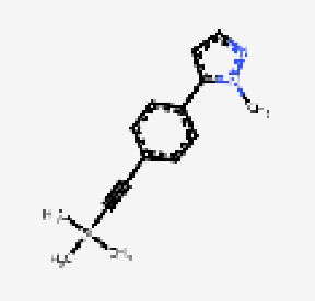 Cn1nccc1-c1ccc(C#C[Si](C)(C)C)cc1